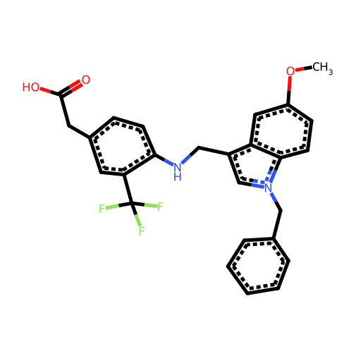 COc1ccc2c(c1)c(CNc1ccc(CC(=O)O)cc1C(F)(F)F)cn2Cc1ccccc1